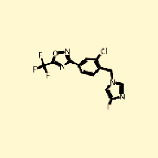 FC(F)(F)c1nc(-c2ccc(Cn3cnc(I)c3)c(Cl)c2)no1